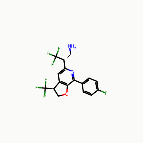 NC[C@H](c1cc2c(c(-c3ccc(F)cc3)n1)OC[C@H]2C(F)(F)F)C(F)(F)F